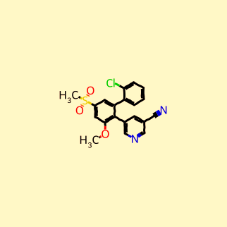 COc1cc(S(C)(=O)=O)cc(-c2ccccc2Cl)c1-c1cncc(C#N)c1